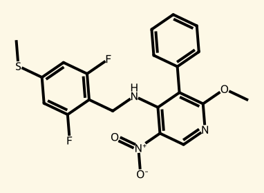 COc1ncc([N+](=O)[O-])c(NCc2c(F)cc(SC)cc2F)c1-c1ccccc1